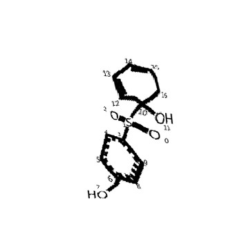 O=S(=O)(c1ccc(O)cc1)C1(O)C=CC=CC1